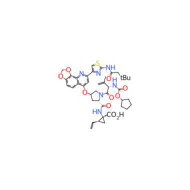 C=C[C@@H]1C[C@]1(NC(=O)[C@@H]1C[C@@H](Oc2cc(-c3csc(NC(=O)CC(C)(C)C)n3)nc3c4c(ccc23)OCO4)CN1C(=O)[C@@H](NC(=O)OC1CCCC1)C(=C)C)C(=O)O